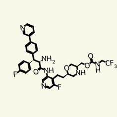 N[C@H](C(=O)Nc1cncc(F)c1CC[C@@H]1CN[C@H](COC(=O)NCC(F)(F)F)CO1)[C@H](c1ccc(F)cc1)c1ccc(-c2cccnc2)cc1